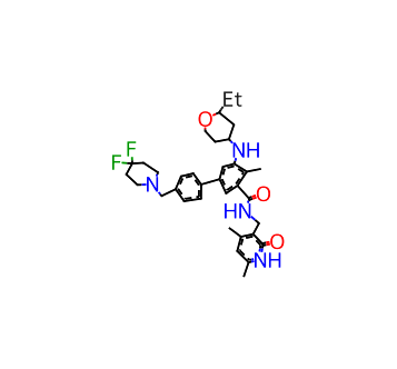 CCC1CC(Nc2cc(-c3ccc(CN4CCC(F)(F)CC4)cc3)cc(C(=O)NCc3c(C)cc(C)[nH]c3=O)c2C)CCO1